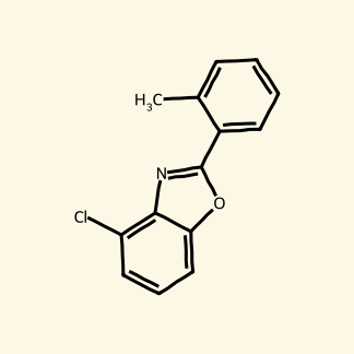 Cc1ccccc1-c1nc2c(Cl)cccc2o1